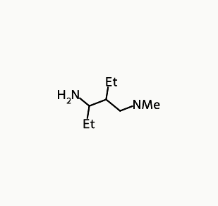 CCC(N)C(CC)CNC